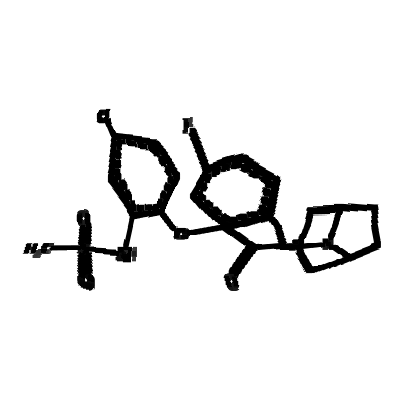 CS(=O)(=O)Nc1cc(Cl)ccc1OCC(=O)N1CC2CCC(C1)N2Cc1ccc(F)cc1